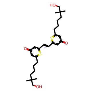 CC(C)(CO)CCCCc1cc(=O)cc(/C=C/c2cc(=O)cc(CCCCC(C)(C)CO)s2)s1